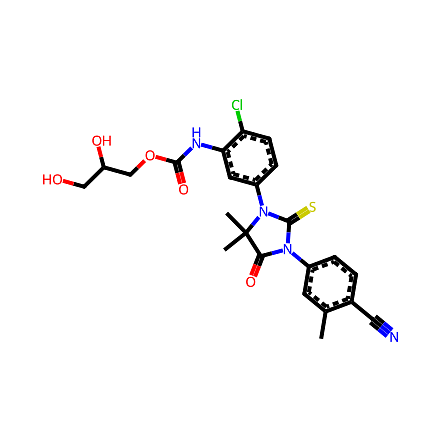 Cc1cc(N2C(=O)C(C)(C)N(c3ccc(Cl)c(NC(=O)OCC(O)CO)c3)C2=S)ccc1C#N